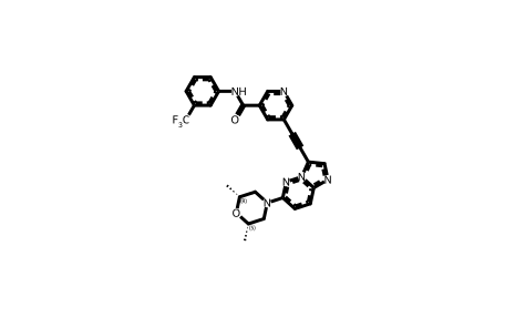 C[C@@H]1CN(c2ccc3ncc(C#Cc4cncc(C(=O)Nc5cccc(C(F)(F)F)c5)c4)n3n2)C[C@H](C)O1